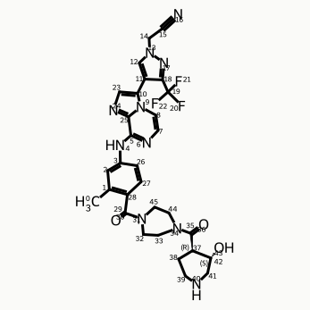 Cc1cc(Nc2nccn3c(-c4cn(CC#N)nc4C(F)(F)F)cnc23)ccc1C(=O)N1CCN(C(=O)[C@@H]2CCNC[C@H]2O)CC1